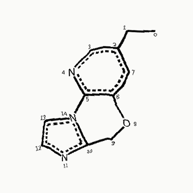 CCc1cnc2c(c1)OCc1nccn1-2